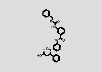 O=C(O)CC(c1ccccc1)[S+]([O-])c1cccc(NC(=O)c2cccc(NC(=O)NCc3ccccc3)c2)c1